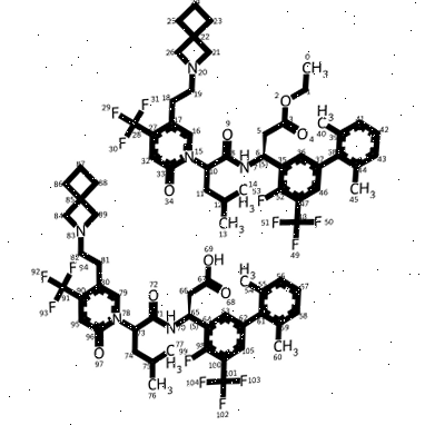 CCOC(=O)C[C@H](NC(=O)C(CC(C)C)n1cc(CCN2CC3(CCC3)C2)c(C(F)(F)F)cc1=O)c1cc(-c2c(C)cccc2C)cc(C(F)(F)F)c1F.Cc1cccc(C)c1-c1cc([C@H](CC(=O)O)NC(=O)C(CC(C)C)n2cc(CCN3CC4(CCC4)C3)c(C(F)(F)F)cc2=O)c(F)c(C(F)(F)F)c1